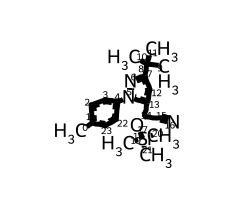 Cc1ccc(-n2nc(C(C)(C)C)cc2C(C#N)O[Si](C)(C)C)cc1